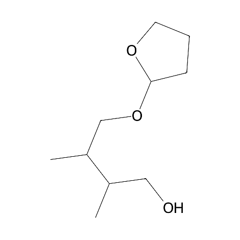 CC(CO)C(C)COC1CCCO1